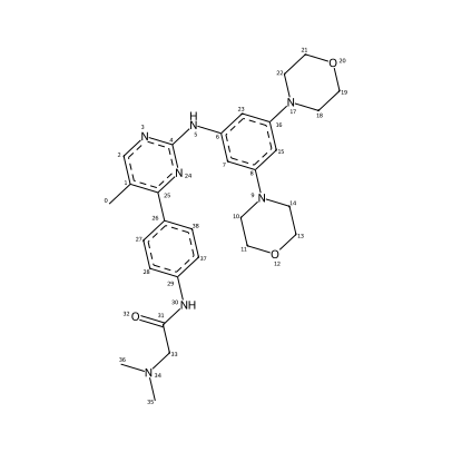 Cc1cnc(Nc2cc(N3CCOCC3)cc(N3CCOCC3)c2)nc1-c1ccc(NC(=O)CN(C)C)cc1